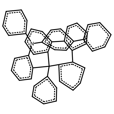 c1ccc(-c2ccc(N(c3ccccc3)c3ccccc3C3(c4ccccc4)c4ccccc4-c4ccccc4-c4ccccc43)cc2)cc1